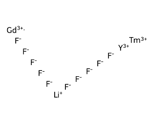 [F-].[F-].[F-].[F-].[F-].[F-].[F-].[F-].[F-].[F-].[Gd+3].[Li+].[Tm+3].[Y+3]